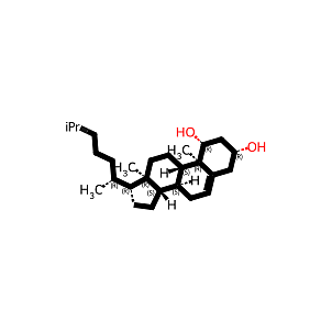 CC(C)CCC[C@@H](C)[C@H]1CC[C@H]2[C@@H]3CC=C4C[C@@H](O)C[C@@H](O)[C@]4(C)[C@H]3CC[C@]12C